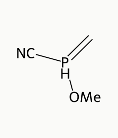 C=[PH](C#N)OC